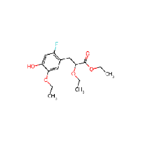 CCOC(=O)C(Cc1cc(OCC)c(O)cc1F)OCC